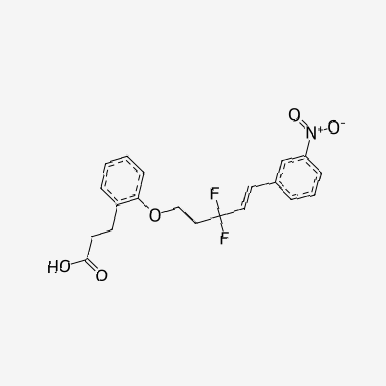 O=C(O)CCc1ccccc1OCCC(F)(F)C=Cc1cccc([N+](=O)[O-])c1